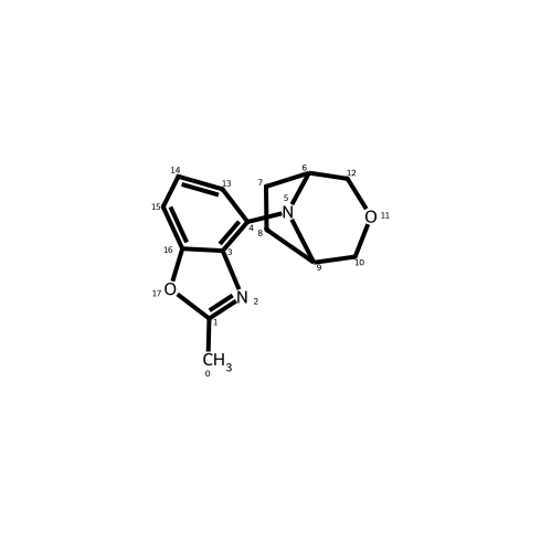 Cc1nc2c(N3C4CCC3COC4)cccc2o1